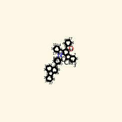 CC1(C)c2ccccc2-c2c1c1c(c3ccccc3n1-c1ccc(-c3ccc4c5c(cccc35)-c3ccccc3-4)cc1)c1c2oc2ccccc21